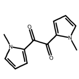 Cn1cccc1C(=O)C(=O)c1cccn1C